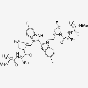 CC[C@H](NC(=O)[C@H](C)NC)C(=O)N1C[C@@H](F)C[C@H]1CCn1c(-c2[nH]c3cc(F)ccc3c2C[C@@H]2C[C@H](F)CN2C(=O)[C@@H](NC(=O)[C@H](C)NC)C(C)(C)C)nc2cc(F)ccc21